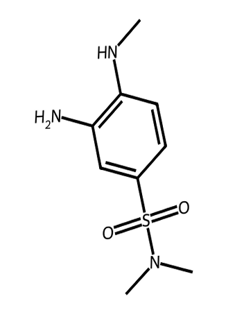 CNc1ccc(S(=O)(=O)N(C)C)cc1N